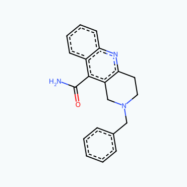 NC(=O)c1c2c(nc3ccccc13)CCN(Cc1ccccc1)C2